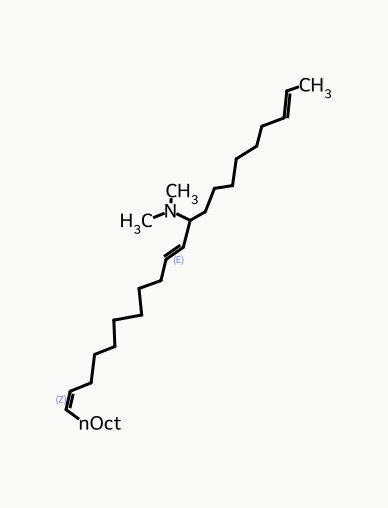 CC=CCCCCCCC(/C=C/CCCCCCC/C=C\CCCCCCCC)N(C)C